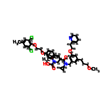 COCCCc1cc(CN(C(=O)C(Cc2ccc(OCCOc3c(Cl)cc(C)cc3Cl)cc2)CN(C(=O)O)C(C)(C)C)C2CC2)cc(OCCc2ccccn2)c1